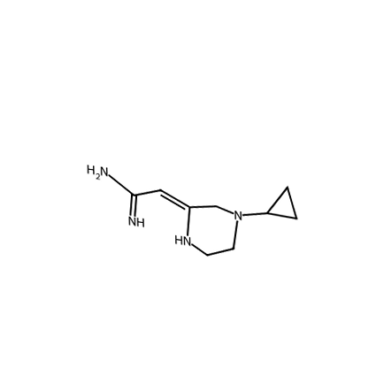 N=C(N)/C=C1/CN(C2CC2)CCN1